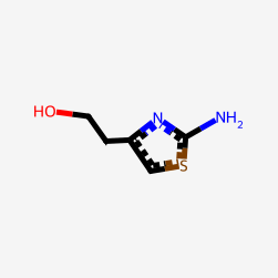 Nc1nc([CH]CO)cs1